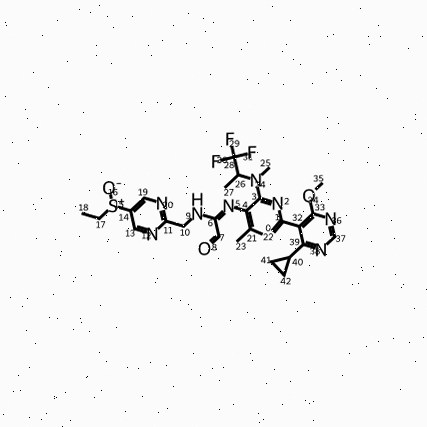 C=C(/N=C(\C(/N=C(\C=O)NCc1ncc([S+]([O-])CC)cn1)=C(C)C)N(C)C(C)C(F)(F)F)c1c(OC)ncnc1C1CC1